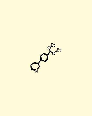 CCOC(OCC)c1ccc(C2=CCC=NC2)cc1